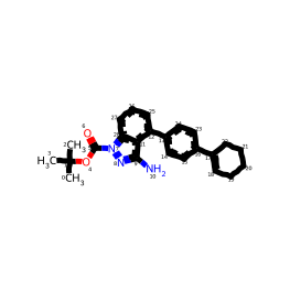 CC(C)(C)OC(=O)n1nc(N)c2c(-c3ccc(C4=CCCCC4)cc3)cccc21